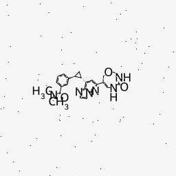 CN(C)C(=O)c1cccc([C@H]2C[C@@H]2c2cc(/C3=C/NC(=O)NCOC3)nn3ccnc23)c1